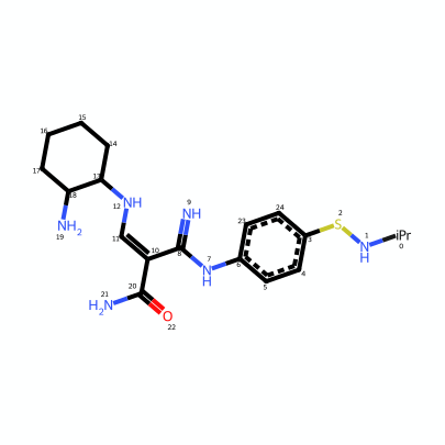 CC(C)NSc1ccc(NC(=N)/C(=C\NC2CCCCC2N)C(N)=O)cc1